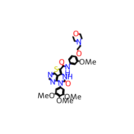 COc1cc(NC(=O)c2sc3ncnc4c3c2NC(=O)N4c2cc(OC)c(OC)c(OC)c2)ccc1OCCN1CCOCC1